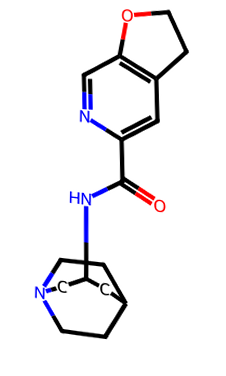 O=C(NC1CC2CCN(CC2)C1)c1cc2c(cn1)OCC2